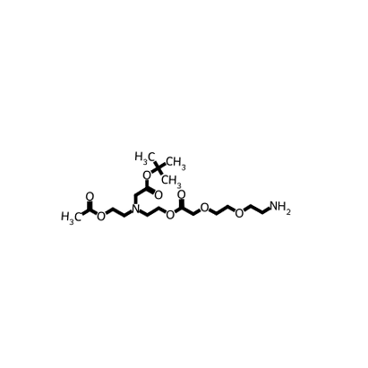 CC(=O)OCCN(CCOC(=O)COCCOCCN)CC(=O)OC(C)(C)C